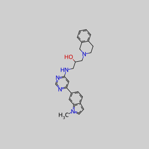 Cn1ccc2ccc(-c3cc(NCC(O)CN4CCc5ccccc5C4)ncn3)cc21